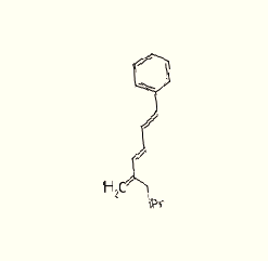 C=C(C=CC=Cc1ccccc1)CC(C)C